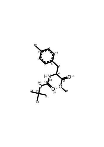 COC(=O)C(Cc1ccc(C)cc1)NC(=O)OC(C)(C)C